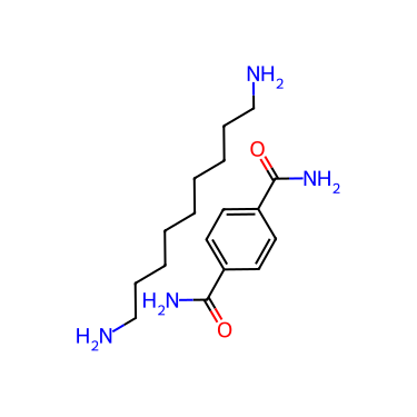 NC(=O)c1ccc(C(N)=O)cc1.NCCCCCCCCCN